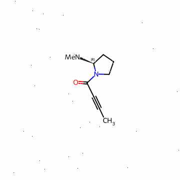 CC#CC(=O)N1CCC[C@@H]1NC